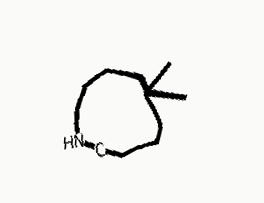 CC1(C)CCCCNCCCC1